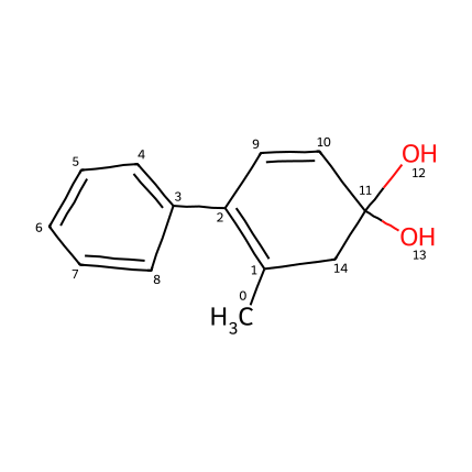 CC1=C(c2ccccc2)C=CC(O)(O)C1